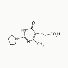 Cc1nc(N2CCCC2)[nH]c(=O)c1CCC(=O)O